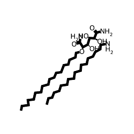 CCCCCCCCCCCCCCCCCCN.CCCCCCCCCCCCCCCCCCO[C@@H](C(N)=O)[C@@H](O)[C@H](O)[C@H](O)C(N)=O